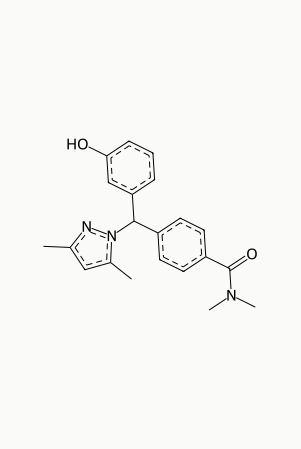 Cc1cc(C)n(C(c2ccc(C(=O)N(C)C)cc2)c2cccc(O)c2)n1